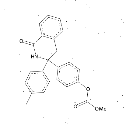 COC(=O)Oc1ccc(C2(c3ccc(C)cc3)Cc3ccccc3C(=O)N2)cc1